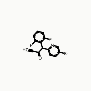 C#CC(=O)C(c1ccc(Br)cn1)c1c(F)cccc1F